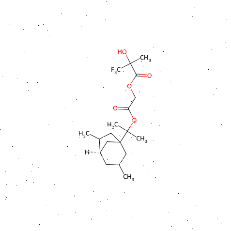 CC1C[C@@H]2CC(C(C)(C)OC(=O)COC(=O)C(C)(O)C(F)(F)F)(C1)CC2C